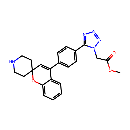 COC(=O)Cn1nnnc1-c1ccc(C2=CC3(CCNCC3)Oc3ccccc32)cc1